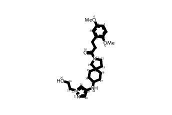 COc1ccc(OC)c(CCC(=O)N2CCC3(CCC(Nc4cnn(CCO)c4)CC3)C2)c1